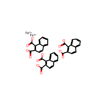 O=C([O-])c1ccc2ccccc2c1C(=O)[O-].O=C([O-])c1ccc2ccccc2c1C(=O)[O-].O=C([O-])c1ccc2ccccc2c1C(=O)[O-].[Fe+3].[Fe+3]